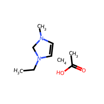 C.CC(=O)O.CCN1C=CN(C)C1